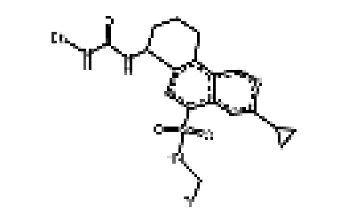 CCNC(=O)NC1CCCc2c1cc(S(=O)(=O)NCC(C)C)c1cc(C3CC3)ncc21